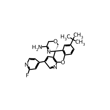 CC(C)(C)c1ccc2c(c1)[C@@]1(COCC(N)=N1)c1cc(-c3ccnc(F)c3)cnc1O2